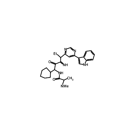 CCC(C(=N)C(=O)C(NC(=O)C(C)NC)C1CCCCC1)c1cc(-c2c[nH]c3ccccc23)ncn1